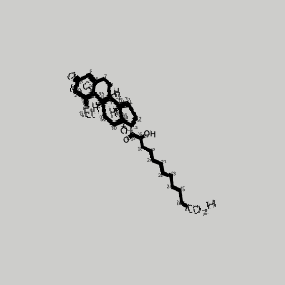 CCC1CC(=O)C=C2CC[C@H]3[C@@H]4CC[C@H](C(=O)C(O)CCCCCCCCCC(=O)O)[C@@]4(C)CC[C@@H]3[C@]21C